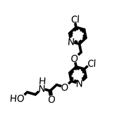 O=C(COc1cc(OCc2ccc(Cl)cn2)c(Cl)cn1)NCCO